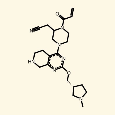 C=CC(=O)N1CCN(c2nc(OC[C@@H]3CCN(C)C3)nc3c2CCNC3)CC1CC#N